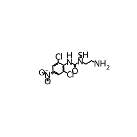 NCCN(S)C(=O)Nc1c(Cl)cc([N+](=O)[O-])cc1Cl